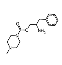 CN1CCN(C(=O)OCC(N)Cc2ccccc2)CC1